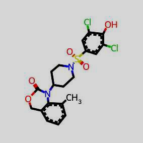 Cc1cccc2c1N(C1CCN(S(=O)(=O)c3cc(Cl)c(O)c(Cl)c3)CC1)C(=O)OC2